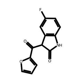 O=C1Nc2ccc(F)cc2C1C(=O)c1ccco1